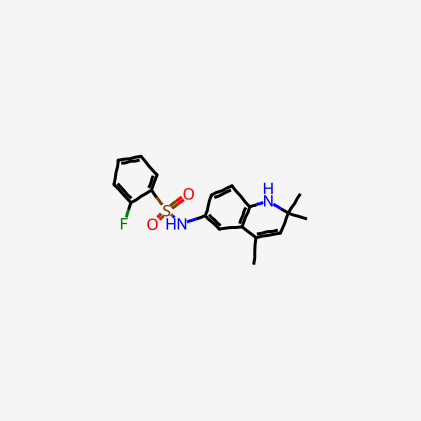 CC1=CC(C)(C)Nc2ccc(NS(=O)(=O)c3ccccc3F)cc21